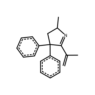 C=C(C)C1=NC(C)CC1(c1ccccc1)c1ccccc1